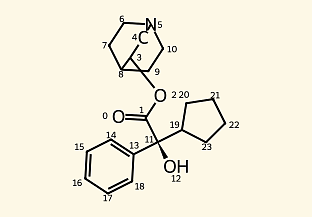 O=C(OC1CN2CCC1CC2)[C@@](O)(c1ccccc1)C1CCCC1